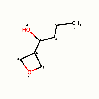 CCCC(O)C1COC1